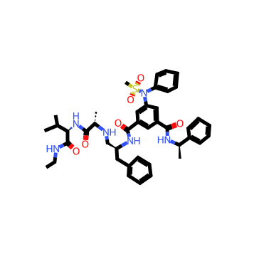 CCNC(=O)[C@@H](NC(=O)[C@H](C)NC[C@H](Cc1ccccc1)NC(=O)c1cc(C(=O)N[C@H](C)c2ccccc2)cc(N(c2ccccc2)S(C)(=O)=O)c1)C(C)C